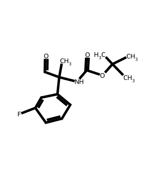 CC(C)(C)OC(=O)NC(C)(C=O)c1cccc(F)c1